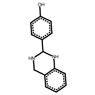 Oc1ccc(C2NCc3ccccc3N2)cc1